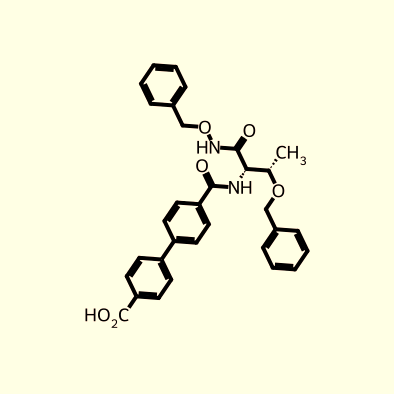 C[C@H](OCc1ccccc1)[C@H](NC(=O)c1ccc(-c2ccc(C(=O)O)cc2)cc1)C(=O)NOCc1ccccc1